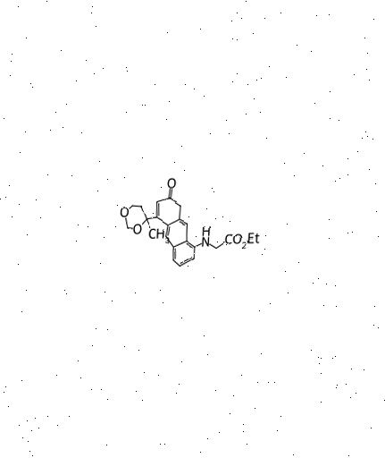 CCOC(=O)CNc1cccc2cc3c(cc12)CC(=O)C=C3C1(C)CCOCO1